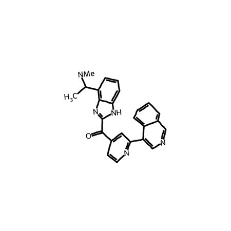 CNC(C)c1cccc2[nH]c(C(=O)c3ccnc(-c4cncc5ccccc45)c3)nc12